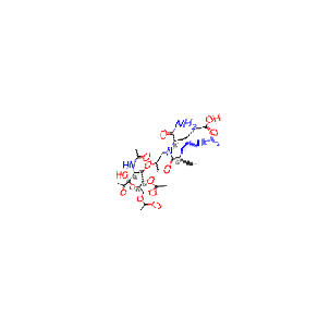 CC(=O)N[C@@H]1[C@@H](OC(C)CN(C(=O)[C@H](C)N)[C@H](CCC(=O)O)C(N)=O)[C@H](OC(C)=O)[C@@H](COC(C)=O)O[C@@]1(O)C(C)=O